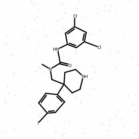 CN(CC1(c2ccc(I)cc2)CCNCC1)C(=O)Nc1cc(Cl)cc(Cl)c1